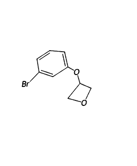 Brc1cccc(OC2COC2)c1